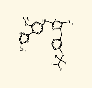 COc1cc(Nc2nc(C)c(Cc3cccc(OC(F)(F)C(F)F)c3)s2)ccc1-c1nc(C)c[nH]1